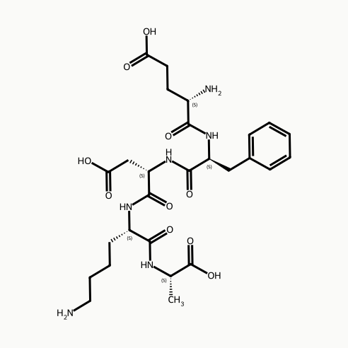 C[C@H](NC(=O)[C@H](CCCCN)NC(=O)[C@H](CC(=O)O)NC(=O)[C@H](Cc1ccccc1)NC(=O)[C@@H](N)CCC(=O)O)C(=O)O